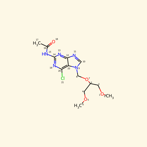 COCC(COC)OCn1cnc2nc(NC(C)=O)nc(Cl)c21